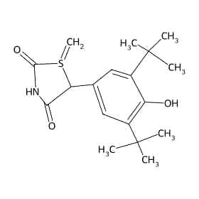 C=S1C(=O)NC(=O)C1c1cc(C(C)(C)C)c(O)c(C(C)(C)C)c1